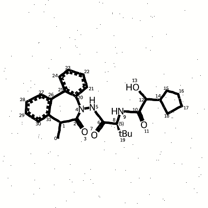 CC1C(=O)N(NC(=O)[C@@H](NC(=O)C(O)C2CCCC2)C(C)(C)C)c2ccccc2-c2ccccc21